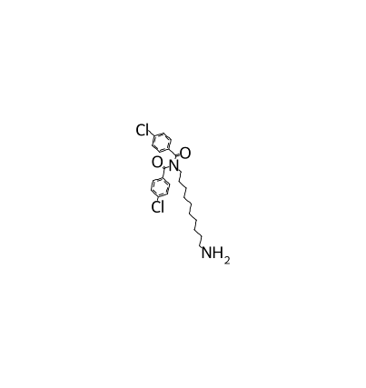 NCCCCCCCCCCN(C(=O)c1ccc(Cl)cc1)C(=O)c1ccc(Cl)cc1